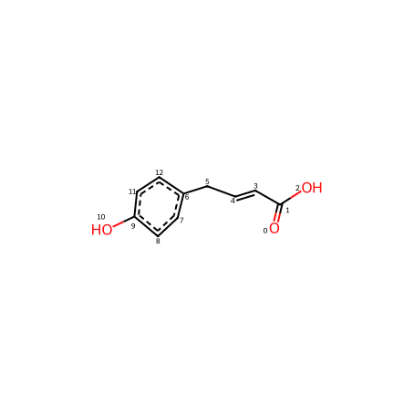 O=C(O)C=CCc1ccc(O)cc1